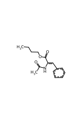 CCCCOC(=O)/C(=C/c1ccccc1)NC(C)=O